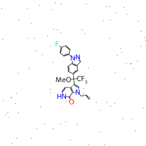 C=CCn1cc(C(OC)(c2ccc3c(cnn3-c3ccc(F)cc3)c2)C(F)(F)F)c2cc[nH]c(=O)c21